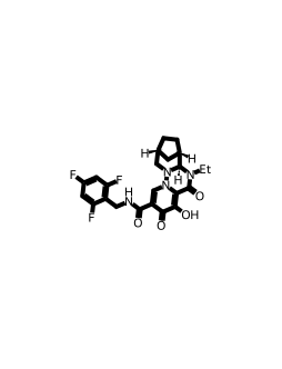 CCN1C(=O)c2c(O)c(=O)c(C(=O)NCc3c(F)cc(F)cc3F)cn2N2C[C@@H]3CC[C@@H](C3)[C@@H]12